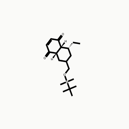 CC[C@@H]1CC(CO[Si](C)(C)C(C)(C)C)C[C@@H]2C(=O)C=CC(=O)[C@H]12